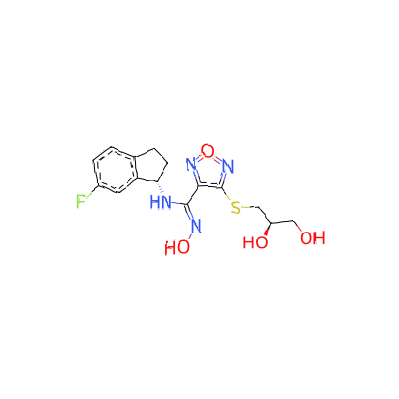 OC[C@@H](O)CSc1nonc1/C(=N/O)N[C@H]1CCc2ccc(F)cc21